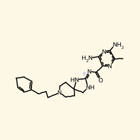 Cc1nc(C(=O)/N=C2\NCC3(CCN(CCCC4=CCCC=C4)CC3)N2)c(N)nc1N